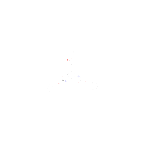 C=COC(=O)CCc1cc(NC(=O)OCc2ccccc2)cc(NC(=O)OCc2ccccc2)c1